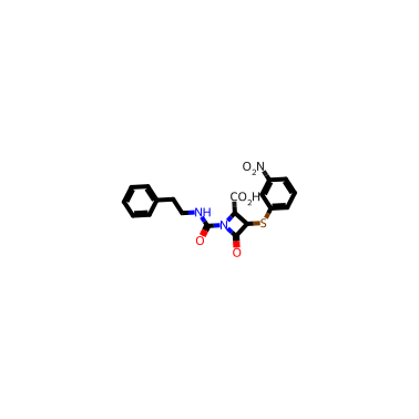 O=C(O)C1C(Sc2cccc([N+](=O)[O-])c2)C(=O)N1C(=O)NCCc1ccccc1